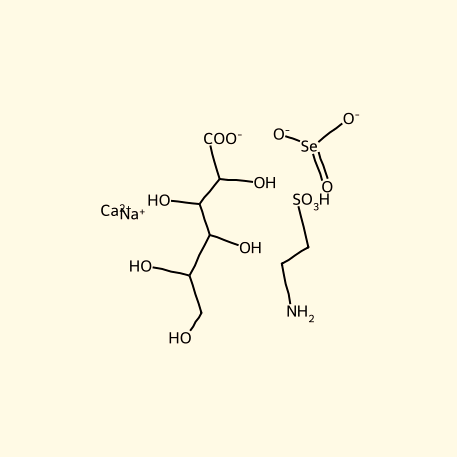 NCCS(=O)(=O)O.O=C([O-])C(O)C(O)C(O)C(O)CO.O=[Se]([O-])[O-].[Ca+2].[Na+]